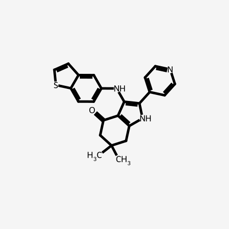 CC1(C)CC(=O)c2c([nH]c(-c3ccncc3)c2Nc2ccc3sccc3c2)C1